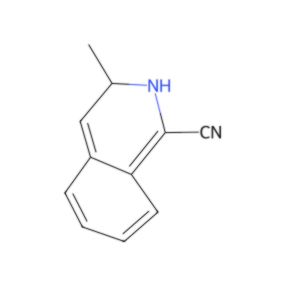 CC1C=c2ccccc2=C(C#N)N1